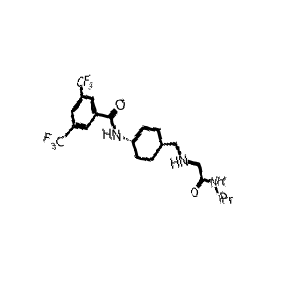 CC(C)NC(=O)CNC[C@H]1CC[C@H](NC(=O)c2cc(C(F)(F)F)cc(C(F)(F)F)c2)CC1